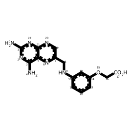 Nc1nc(N)c2nc(CNc3cccc(OCC(=O)O)c3)cnc2n1